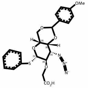 COc1ccc(C2OC[C@H]3O[C@@H](Sc4ccccc4)[C@H](OCC(=O)O)[C@@H](N=[N+]=[N-])[C@H]3O2)cc1